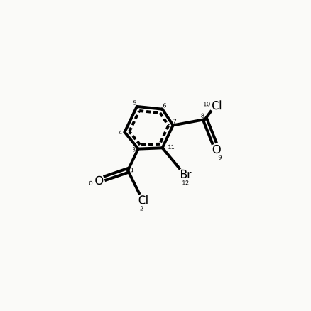 O=C(Cl)c1cccc(C(=O)Cl)c1Br